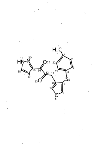 Cc1ccc(Sc2cocc2CC(=O)C(=O)c2nc[nH]n2)cc1